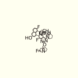 C=C(CC)c1c(F)ccc2cc(O)cc(-c3nc4c5c(nc(OC[C@@]67CCCN6C[C@H](F)C7)nc5c3F)N3CCCC[C@H]3CO4)c12